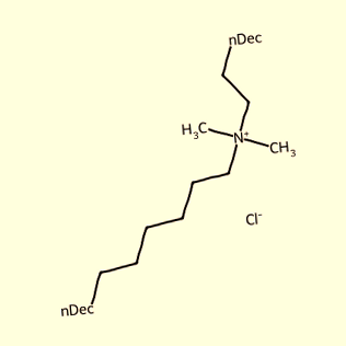 CCCCCCCCCCCCCCCC[N+](C)(C)CCCCCCCCCCCC.[Cl-]